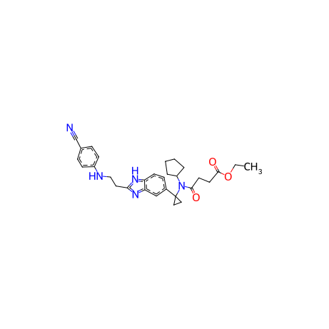 CCOC(=O)CCC(=O)N(C1CCCC1)C1(c2ccc3[nH]c(CCNc4ccc(C#N)cc4)nc3c2)CC1